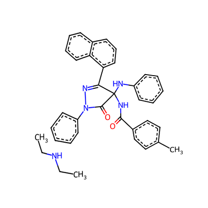 CCNCC.Cc1ccc(C(=O)NC2(Nc3ccccc3)C(=O)N(c3ccccc3)N=C2c2cccc3ccccc23)cc1